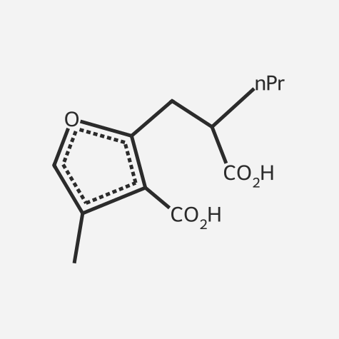 CCCC(Cc1occ(C)c1C(=O)O)C(=O)O